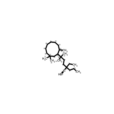 B=BC(CC)(CCC)CCC(C)(C)C1CC(C)(C)CCCCCCC1C